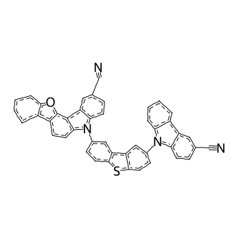 N#Cc1ccc2c(c1)c1ccccc1n2-c1ccc2sc3ccc(-n4c5ccc(C#N)cc5c5c6oc7ccccc7c6ccc54)cc3c2c1